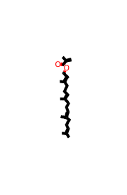 C=C(C)C(=O)OC/C=C(\C)CC/C=C(\C)CC/C=C(\C)CCC=C(C)C